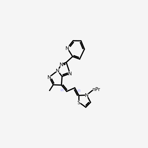 CCCN1C=CS/C1=C\C=c1\c(C)nn2nc(-c3ccccn3)nc12